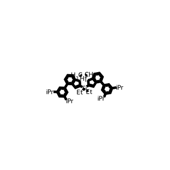 CC[Si]1(CC)C2=Cc3c(-c4cc(C(C)C)cc(C(C)C)c4)cccc3[CH]2[Hf]([CH3])([CH3])[CH]2C1=Cc1c(-c3cc(C(C)C)cc(C(C)C)c3)cccc12